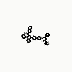 c1ccc(-c2cc(-c3ccc(-c4ccc(-c5cc6c(-c7ccc8ccccc8c7)nc7ccccc7c6c6ccccc56)cc4)cc3)nc(-c3ccccn3)n2)cc1